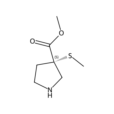 COC(=O)[C@]1(SC)CCNC1